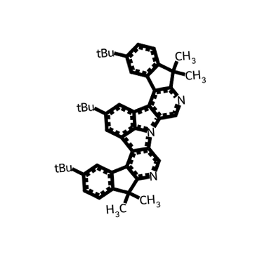 CC(C)(C)c1ccc2c(c1)-c1c(ncc3c1c1cc(C(C)(C)C)cc4c5c6c(ncc5n3c14)C(C)(C)c1ccc(C(C)(C)C)cc1-6)C2(C)C